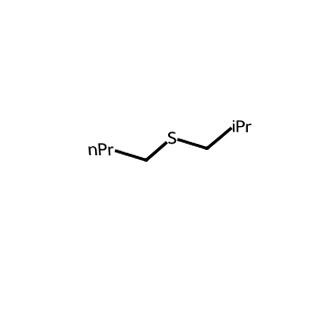 [CH2]C(C)CSCCCC